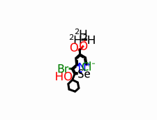 [2H]C([2H])([2H])OC(=O)c1cc[n+]2[se]c(C3(O)CCCCC3)c(Br)c2c1.[Cl-]